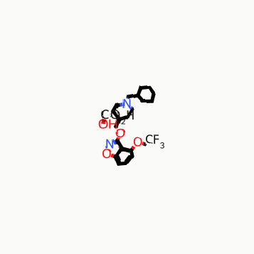 FC(F)(F)COc1cccc2onc(OCC3CCN(CC4CCCCC4)CC3)c12.O=C(O)O